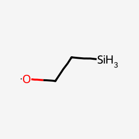 [O]CC[SiH3]